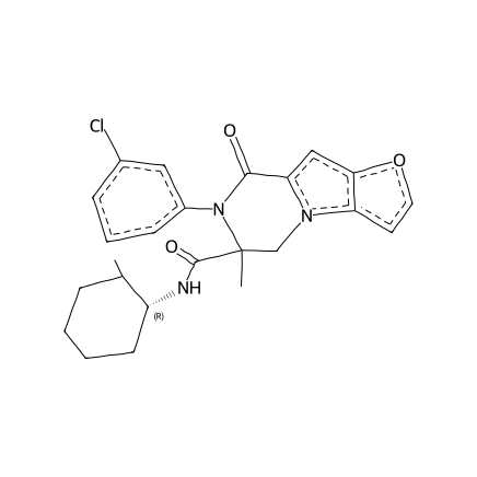 CC1CCCC[C@H]1NC(=O)C1(C)Cn2c(cc3occc32)C(=O)N1c1cccc(Cl)c1